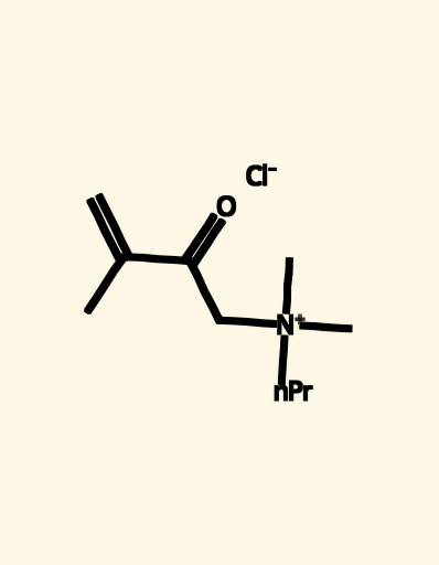 C=C(C)C(=O)C[N+](C)(C)CCC.[Cl-]